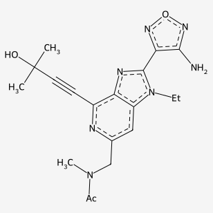 CCn1c(-c2nonc2N)nc2c(C#CC(C)(C)O)nc(CN(C)C(C)=O)cc21